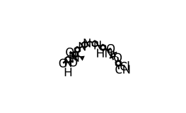 CC1(C)[C@H](NC(=O)c2ccc(N3CCC(CN4CCN(c5ccc6c(=O)n(C7CCC(=O)NC7=O)nc(C7CC7)c6c5)CC4)CC3)cc2)C(C)(C)[C@H]1Oc1ccc(C#N)c(Cl)c1